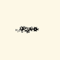 Cn1cnc2nc(N)n(Cc3nc([C@@H]4CO[C@@H](c5ccc(F)cc5)C4)no3)c2c1=O